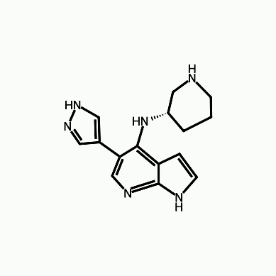 c1cc2c(N[C@H]3CCCNC3)c(-c3cn[nH]c3)cnc2[nH]1